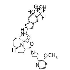 COc1cccnc1C1CN(C(=O)[C@@H]2CC[C@@H]3CCC[C@H](NC(=O)c4cc5cc(C(F)(F)P(=O)(O)O)ccc5s4)C(=O)N32)C1